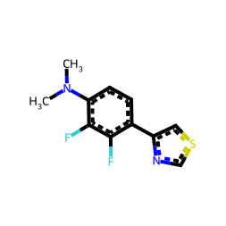 CN(C)c1ccc(-c2cscn2)c(F)c1F